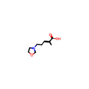 C/C(=C\CCN1CCOC1)C(=O)O